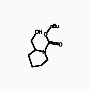 CCCCOC(=O)N1CCCCC1CO